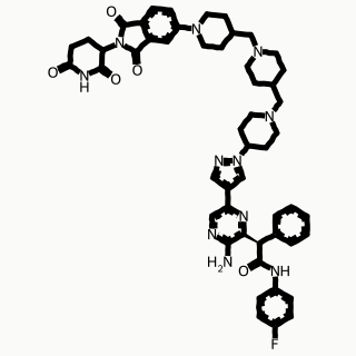 Nc1ncc(-c2cnn(C3CCN(CC4CCN(CC5CCN(c6ccc7c(c6)C(=O)N(C6CCC(=O)NC6=O)C7=O)CC5)CC4)CC3)c2)nc1[C@H](C(=O)Nc1ccc(F)cc1)c1ccccc1